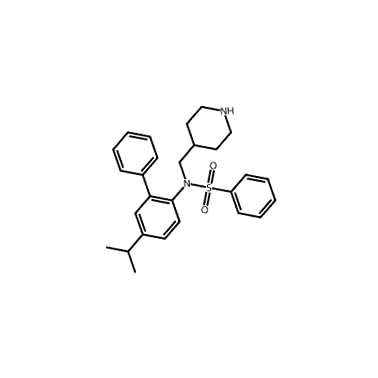 CC(C)c1ccc(N(CC2CCNCC2)S(=O)(=O)c2ccccc2)c(-c2ccccc2)c1